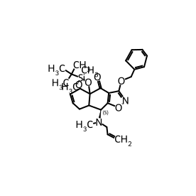 C=CCN(C)[C@@H]1c2onc(OCc3ccccc3)c2C(=O)C2(O[Si](C)(C)C(C)(C)C)C(=O)C=CCC12